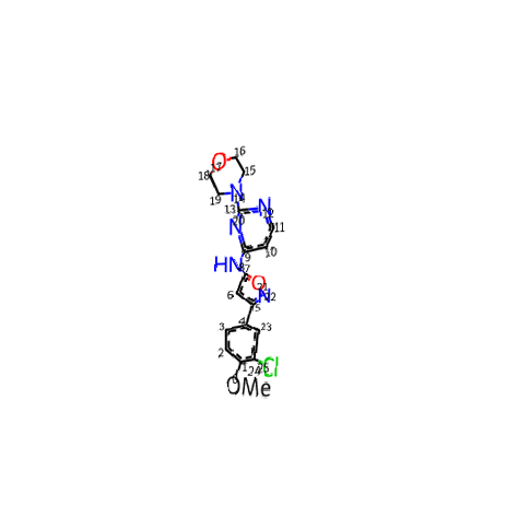 COc1ccc(-c2cc(Nc3ccnc(N4CCOCC4)n3)on2)cc1Cl